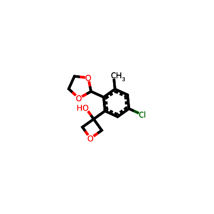 Cc1cc(Cl)cc(C2(O)COC2)c1C1OCCO1